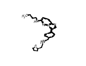 CCCCNc1ccc2ncc(-c3ccc(CNCC4CCCO4)cc3)n2n1